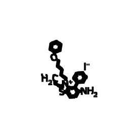 C=Cc1sc2ccc(N)c(-c3ccccc3)c2[n+]1CCCCCOc1ccccc1.[I-]